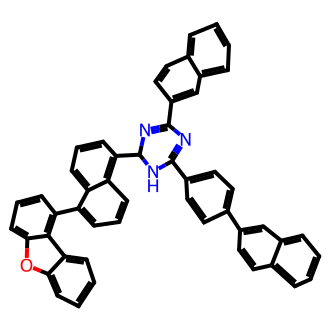 c1ccc2cc(C3=NC(c4cccc5c(-c6cccc7oc8ccccc8c67)cccc45)NC(c4ccc(-c5ccc6ccccc6c5)cc4)=N3)ccc2c1